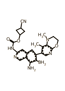 Bc1c(-c2cnc3c(c2C)N(C)CCO3)cc2cc(NC(=O)OC3CC(C#N)C3)ncc2c1N